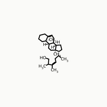 CC(=CCC(C)[C@H]1CC[C@H]2[C@@H]3CC=C4CCCC[C@]4(C)[C@H]3CC[C@]12C)C(C)CO